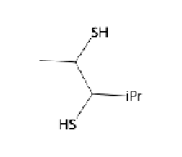 CC(C)C(S)C(C)S